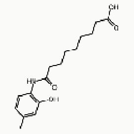 Cc1ccc(NC(=O)CCCCCCCC(=O)O)c(O)c1